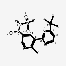 Cc1ccc([S+]([O-])N(C)S(C)(=O)=O)cc1-c1cccc(C(C)(C)C)n1